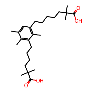 Cc1cc(CCCCCC(C)(C)C(=O)O)c(C)c(CCCCC(C)(C)C(=O)O)c1C